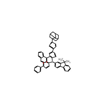 CC1(C)c2ccccc2-c2ccc(N(c3ccc(-c4ccccc4)cc3)c3ccc(-c4ccc(C56CC7CC(CC(C7)C5)C6)cc4)cc3-c3cccc4ccccc34)cc21